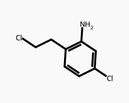 Nc1cc(Cl)ccc1CCCl